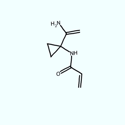 C=CC(=O)NC1(C(=C)N)CC1